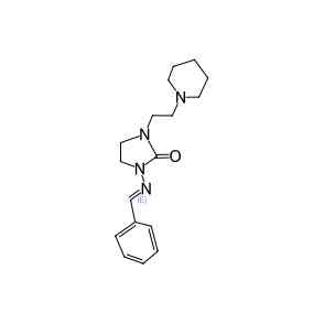 O=C1N(CCN2CCCCC2)CCN1/N=C/c1ccccc1